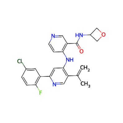 C=C(C)c1cnc(-c2cc(Cl)ccc2F)cc1Nc1ccncc1C(=O)NC1COC1